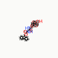 O=C(CNC(=O)OCC1c2ccccc2-c2ccccc21)NCO[C@@H]1CO[C@H]2[C@@H]1OC[C@H]2O